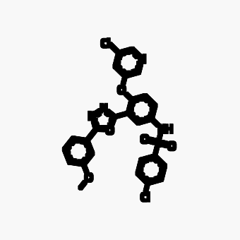 COc1cccc(-c2nnc(-c3cc(NS(=O)(=O)c4ccc(Cl)cc4)ccc3Oc3cncc(Cl)c3)o2)c1